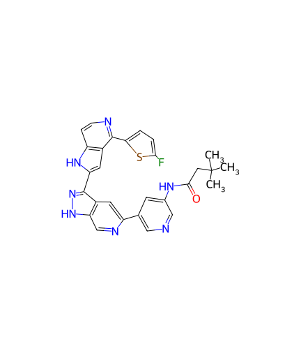 CC(C)(C)CC(=O)Nc1cncc(-c2cc3c(-c4cc5c(-c6ccc(F)s6)nccc5[nH]4)n[nH]c3cn2)c1